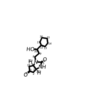 O=C1C[C@@H]2NC(=O)N(CCC(O)C3CCCCC3)[C@@H]2C1